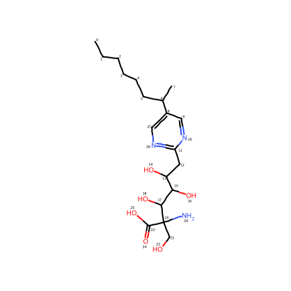 CCCCCCC(C)c1cnc(CC(O)C(O)C(O)C(N)(CO)C(=O)O)nc1